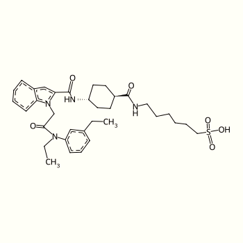 CCc1cccc(N(CC)C(=O)Cn2c(C(=O)N[C@H]3CC[C@H](C(=O)NCCCCCCS(=O)(=O)O)CC3)cc3ccccc32)c1